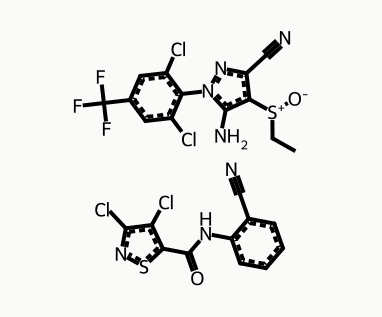 CC[S+]([O-])c1c(C#N)nn(-c2c(Cl)cc(C(F)(F)F)cc2Cl)c1N.N#Cc1ccccc1NC(=O)c1snc(Cl)c1Cl